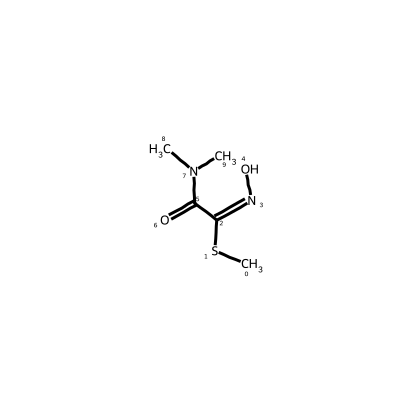 CSC(=NO)C(=O)N(C)C